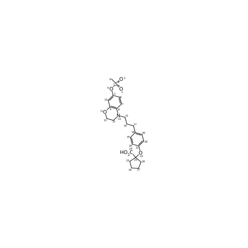 CS(=O)(=O)Oc1ccc2c(c1)OCCN2CCCc1ccc(OC2(C(=O)O)CCCC2)cc1